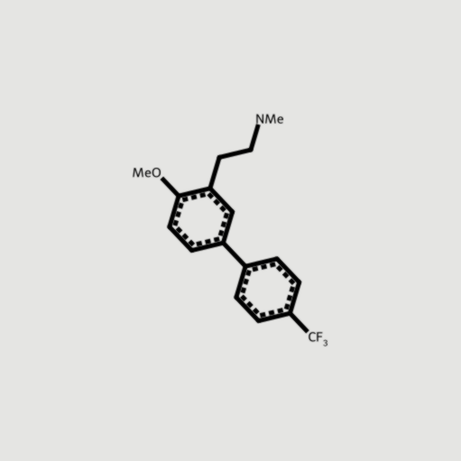 CNCCc1cc(-c2ccc(C(F)(F)F)cc2)ccc1OC